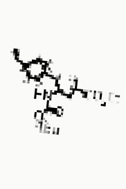 C=Cc1ccc(CC(CC(C)C(=O)OCC)NC(=O)OC(C)(C)C)cc1